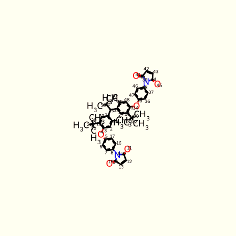 Cc1cc(Oc2ccc(N3C(=O)C=CC3=O)cc2)c(C(C)(C)C)cc1C(c1cc(C(C)(C)C)c(Oc2ccc(N3C(=O)C=CC3=O)cc2)cc1C)C(C)C